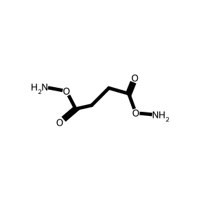 NOC(=O)CCC(=O)ON